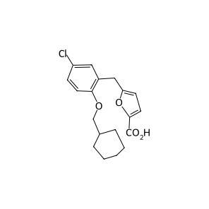 O=C(O)c1ccc(Cc2cc(Cl)ccc2OCC2CCCCC2)o1